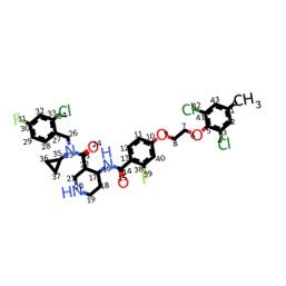 Cc1cc(Cl)c(OCCOc2ccc(C(=O)NC3CCNCC3C(=O)N(Cc3ccc(F)cc3Cl)C3CC3)c(F)c2)c(Cl)c1